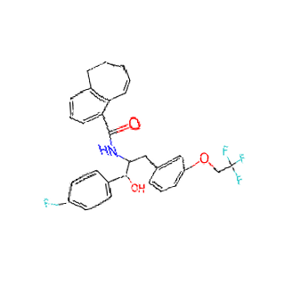 O=C(NC(Cc1cccc(OCC(F)(F)F)c1)C(O)c1ccc(F)cc1)c1cccc2c1C=CCCC2